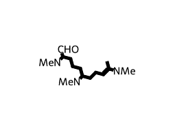 CNC(C)=CCCC(CCCC(C=O)NC)NC